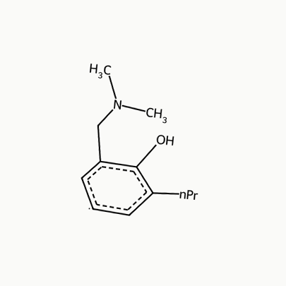 CCCc1c[c]cc(CN(C)C)c1O